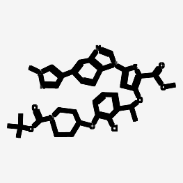 COC(=O)c1sc(-n2cnc3cc(-c4cnn(C)c4)ccc32)cc1OC(C)c1cccc(OC2CCN(C(=O)OC(C)(C)C)CC2)c1Cl